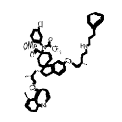 COC(=O)C1(N(C(=O)C(F)(F)F)c2cccc(Cl)c2)CCC2(CC1)c1cc(OC[C@@H](C)CCNCCCc3ccccc3)ccc1C[C@@H]2C[C@@H](C)COc1ccnc2c1[C@H](C)CCC2